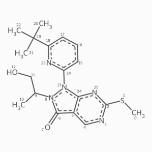 CSc1ncc2c(=O)n(C(C)CO)n(-c3cccc(C(C)(C)C)n3)c2n1